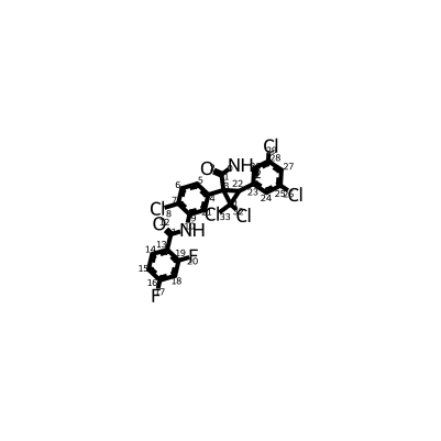 NC(=O)C1(c2ccc(Cl)c(NC(=O)c3ccc(F)cc3F)c2)C(c2cc(Cl)cc(Cl)c2)C1(Cl)Cl